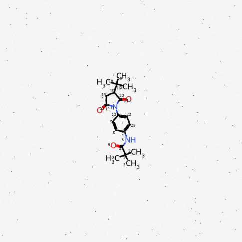 CC(C)(C)C(=O)Nc1ccc(N2C(=O)CC(C(C)(C)C)C2=O)cc1